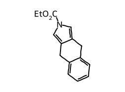 CCOC(=O)n1cc2c(c1)Cc1ccccc1C2